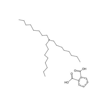 CCCCCCCCP(CCCCCCCC)CCCCCCCC.O=C(O)c1ccccc1C(=O)O